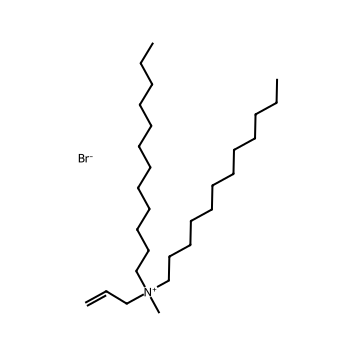 C=CC[N+](C)(CCCCCCCCCCCC)CCCCCCCCCCCC.[Br-]